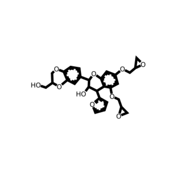 OCC1COc2ccc(C3Oc4cc(OCC5CO5)cc(OCC5CO5)c4C(c4ccco4)C3O)cc2O1